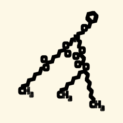 CCCCCCCCOC(=O)CCCCC(=O)OCCN(CCOCc1ccccc1)CCOC(=O)CC(=O)OC(CCCCCCCC)CCCCCCCC